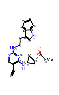 C#Cc1cnc(NCCc2c[nH]c3ccccc23)nc1N[C@H]1C[C@@H](C(=O)NC)C1